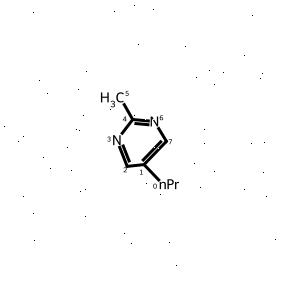 CCCc1cnc(C)nc1